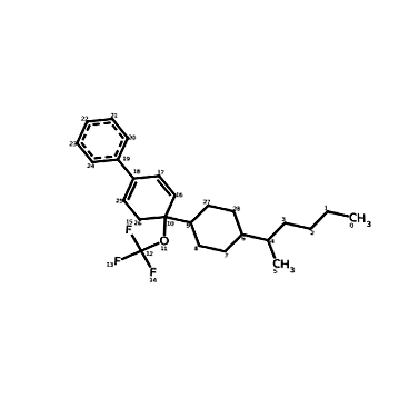 CCCCC(C)C1CCC(C2(OC(F)(F)F)C=CC(c3ccccc3)=CC2)CC1